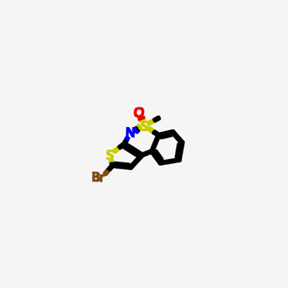 CS1(=O)=Nc2sc(Br)cc2-c2ccccc21